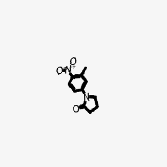 Cc1cc(N2CCCC2=O)ccc1[N+](=O)[O-]